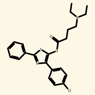 CCN(CC)CCCC(=O)Oc1sc(-c2ccccc2)nc1-c1ccc(Cl)cc1